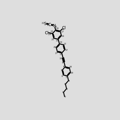 CCCCCc1ccc(C#Cc2ccc(-c3cc(Cl)c(N=C=S)c(Cl)c3)cc2)cc1